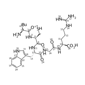 CC[C@H](C)[C@H](N)C(=O)N[C@@H](CS)C(=O)N[C@@H](Cc1c[nH]c2ccccc12)C(=O)NCC(=O)N[C@@H](CCCNC(=N)N)C(=O)O